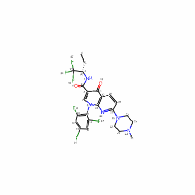 CC[C@H](NC(=O)c1cn(-c2c(F)cc(F)cc2F)c2nc(N3CCN(C)CC3)ccc2c1=O)C(F)(F)F